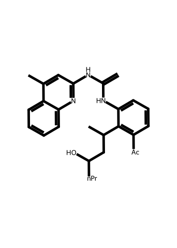 C=C(Nc1cc(C)c2ccccc2n1)Nc1cccc(C(C)=O)c1C(C)CC(O)CCC